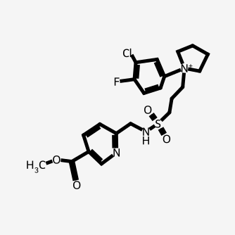 COC(=O)c1ccc(CNS(=O)(=O)CCC[N+]2(c3ccc(F)c(Cl)c3)CCCC2)nc1